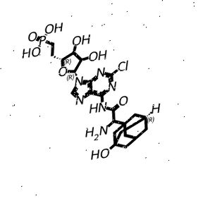 NC(C(=O)Nc1nc(Cl)nc2c1ncn2[C@@H]1O[C@H](CCP(=O)(O)O)C(O)C1O)C12CC3C[C@@H](CC(O)(C3)C1)C2